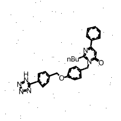 CCCCc1nc(-c2ccccc2)cc(=O)n1Cc1ccc(OCc2ccc(-c3nnn[nH]3)cc2)cc1